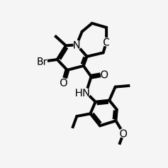 CCc1cc(OC)cc(CC)c1NC(=O)c1c2n(c(C)c(Br)c1=O)CCCCC2